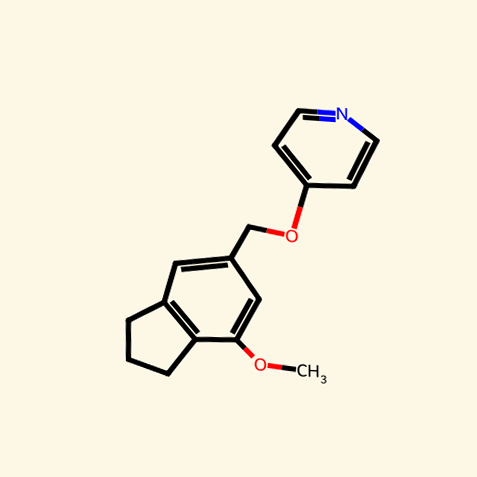 COc1cc(COc2ccncc2)cc2c1CCC2